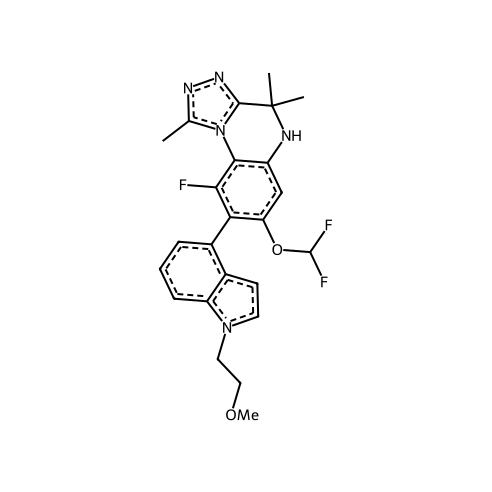 COCCn1ccc2c(-c3c(OC(F)F)cc4c(c3F)-n3c(C)nnc3C(C)(C)N4)cccc21